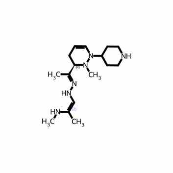 CN/C(C)=C\NN=C(C)[C@H]1CC=CN(C2CCNCC2)N1C